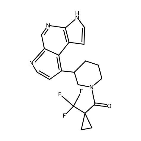 O=C(N1CCCC(c2ccnc3cnc4[nH]ccc4c23)C1)C1(C(F)(F)F)CC1